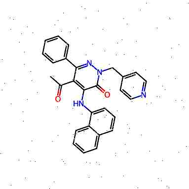 CC(=O)c1c(-c2ccccc2)nn(Cc2ccncc2)c(=O)c1Nc1cccc2ccccc12